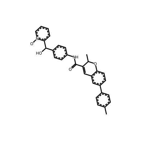 Cc1ccc(-c2ccc3c(c2)C=C(C(=O)Nc2ccc(C(O)c4cccc[n+]4[O-])cc2)C(C)O3)cc1